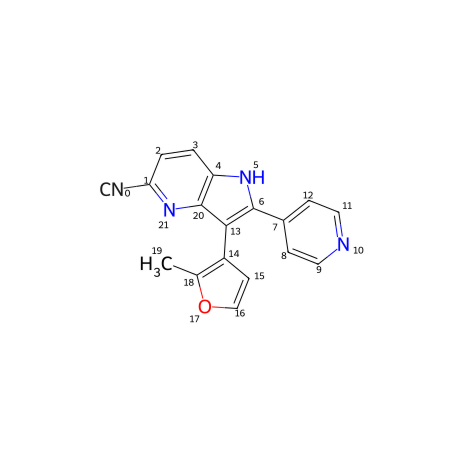 [C-]#[N+]c1ccc2[nH]c(-c3ccncc3)c(-c3ccoc3C)c2n1